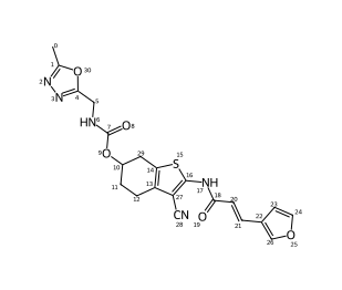 Cc1nnc(CNC(=O)OC2CCc3c(sc(NC(=O)C=Cc4ccoc4)c3C#N)C2)o1